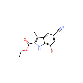 CCOC(=O)c1[nH]c2c(Br)cc(C#N)cc2c1C